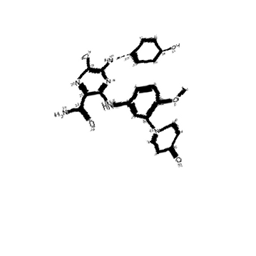 COc1ccc(Nc2nc(N[C@H]3CC[C@H](O)CC3)c(Cl)nc2C(N)=O)cc1N1CCC(=O)CC1